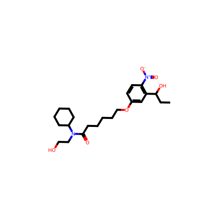 CCC(O)c1cc(OCCCCCC(=O)N(CCO)C2CCCCC2)ccc1[N+](=O)[O-]